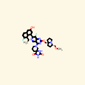 CCc1c(F)ccc2cc(O)cc(-c3ncc4c(N5CCCC6(C5)NC(=O)NC6=O)nc(OC[C@@]56CCCN5[C@H](COC)CC6)nc4c3F)c12